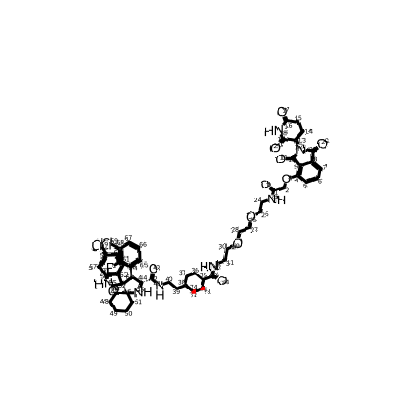 O=C(COc1cccc2c1C(=O)N(C1CCC(=O)NC1=O)C2=O)NCCOCCOCCNC(=O)C12CCC(CCNC(=O)[C@@H]3NC4(CCCCC4)[C@@]4(C(=O)Nc5cc(Cl)ccc54)[C@H]3c3cccc(Cl)c3F)(CC1)CC2